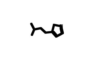 CC(C)CCC1=CC=NC1